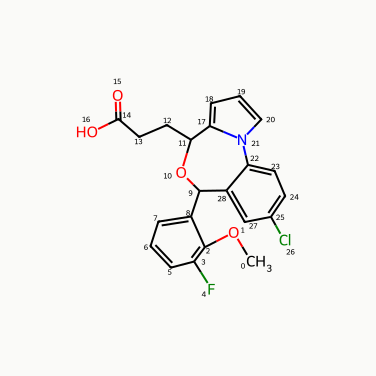 COc1c(F)cccc1C1OC(CCC(=O)O)c2cccn2-c2ccc(Cl)cc21